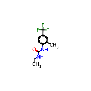 CCNC(=O)Nc1ccc(C(F)(F)F)cc1C